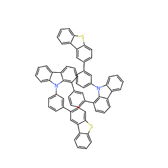 c1cc(-c2cccc3c4ccccc4n(-c4cccc(-c5ccc6sc7ccccc7c6c5)c4)c23)cc(-c2cccc3c4ccccc4n(-c4cccc(-c5ccc6sc7ccccc7c6c5)c4)c23)c1